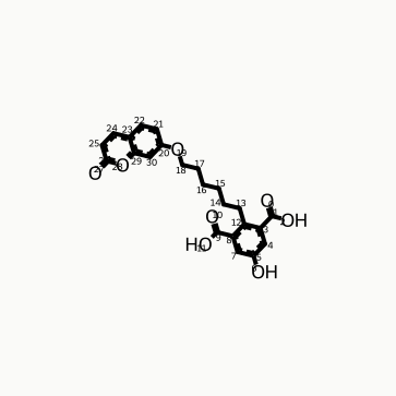 O=C(O)c1cc(O)cc(C(=O)O)c1CCCCCCOc1ccc2ccc(=O)oc2c1